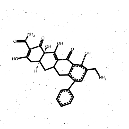 NCc1cc(-c2ccccc2)c2c(c1O)C(=O)C1=C(O)[C@]3(O)C(=O)C(C(N)=O)=C(O)C[C@@H]3CC1C2